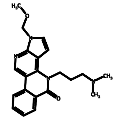 COCn1ccc2c1ncc1c3ccccc3c(=O)n(CCCN(C)C)c12